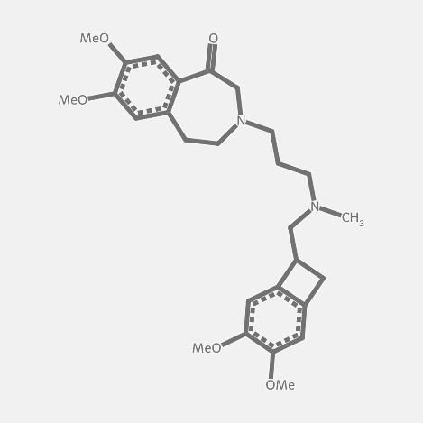 COc1cc2c(cc1OC)C(=O)CN(CCCN(C)CC1Cc3cc(OC)c(OC)cc31)CC2